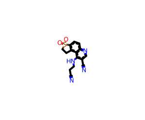 N#CCCNc1c(C#N)cnc2ccc3c(c12)CCS3(=O)=O